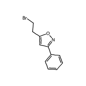 BrCCc1cc(-c2ccccc2)no1